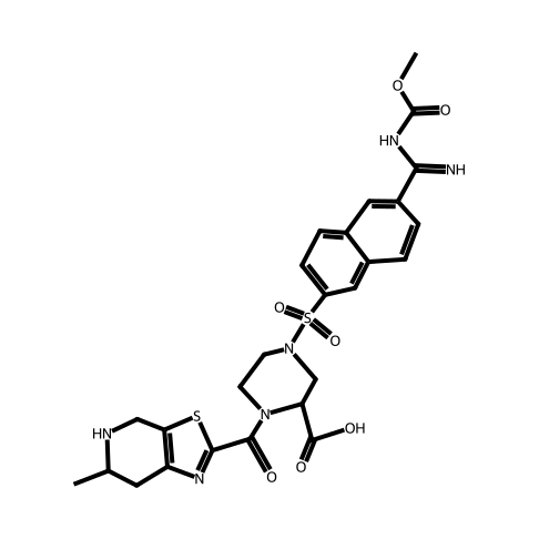 COC(=O)NC(=N)c1ccc2cc(S(=O)(=O)N3CCN(C(=O)c4nc5c(s4)CNC(C)C5)C(C(=O)O)C3)ccc2c1